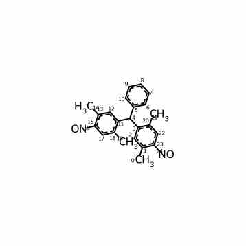 Cc1cc(C(c2ccccc2)c2cc(C)c(N=O)cc2C)c(C)cc1N=O